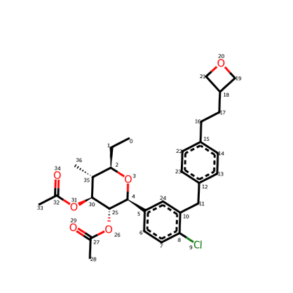 CC[C@H]1O[C@@H](c2ccc(Cl)c(Cc3ccc(CCC4COC4)cc3)c2)[C@H](OC(C)=O)[C@@H](OC(C)=O)[C@@H]1C